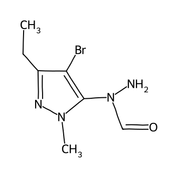 CCc1nn(C)c(N(N)C=O)c1Br